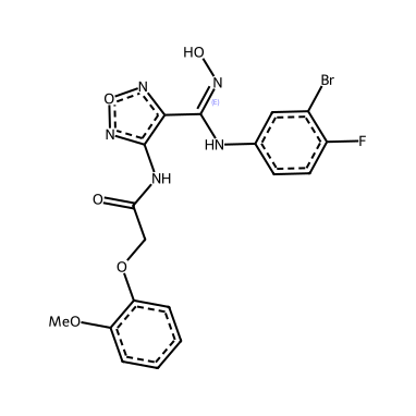 COc1ccccc1OCC(=O)Nc1nonc1/C(=N\O)Nc1ccc(F)c(Br)c1